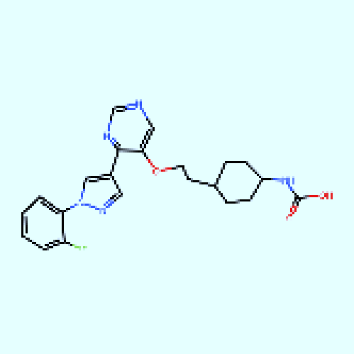 O=C(O)NC1CCC(CCOc2cncnc2-c2cnn(-c3ccccc3F)c2)CC1